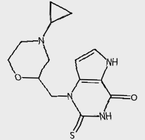 O=c1[nH]c(=S)n(CC2CN(C3CC3)CCO2)c2cc[nH]c12